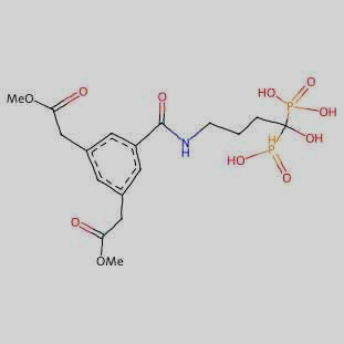 COC(=O)Cc1cc(CC(=O)OC)cc(C(=O)NCCCC(O)([PH](=O)O)P(=O)(O)O)c1